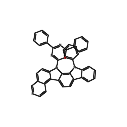 c1ccc(-c2nc(-c3ccccc3)nc(-n3c4ccc5cnccc5c4c4ccc5c6ccccc6n(-c6ccccc6)c5c43)n2)cc1